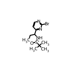 CCC(N[S+]([O-])C(C)(C)C)c1ccnc(Br)n1